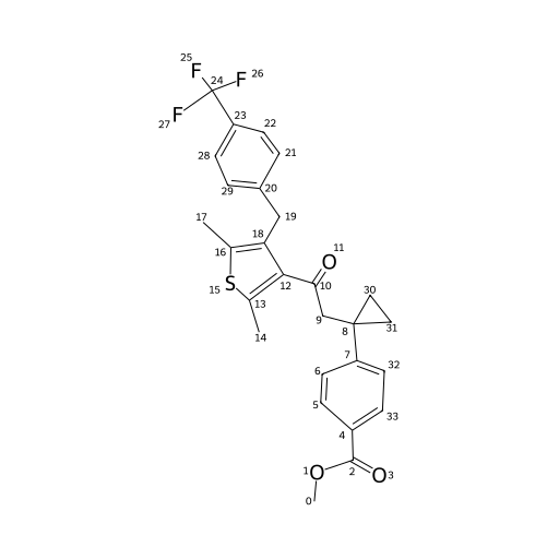 COC(=O)c1ccc(C2(CC(=O)c3c(C)sc(C)c3Cc3ccc(C(F)(F)F)cc3)CC2)cc1